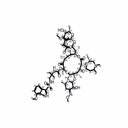 CO/N=C1\C[C@@H](C)O[C@@H](O[C@@H]2[C@@H](C)[C@H](O[C@H]3CC(C)N(C)C[C@H](C)O3)[C@@H](C)C(=O)O[C@H]([C@@H](C)CO[C@@H]3O[C@H](C)[C@@H](O)[C@@H](OC)[C@H]3OC)[C@H](C)[C@@H](OC(=O)CC(C)C)[C@@H](C)C(=O)[C@@](C)(OC(=O)NC(C)(C)CNS(=O)(=O)c3c[nH]c4c(OC)cccc34)C[C@@H]2C)[C@@H]1O